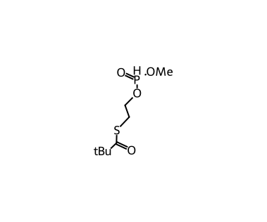 CO[PH](=O)OCCSC(=O)C(C)(C)C